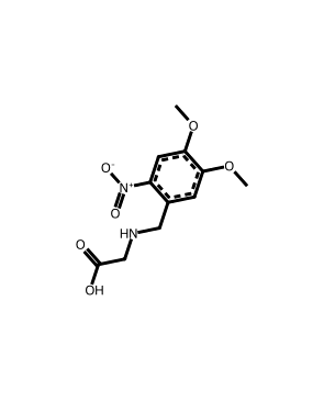 COc1cc(CNCC(=O)O)c([N+](=O)[O-])cc1OC